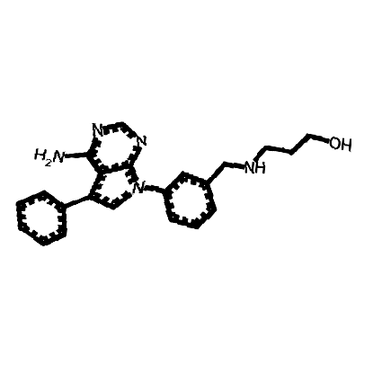 Nc1ncnc2c1c(-c1ccccc1)cn2-c1cccc(CNCCCO)c1